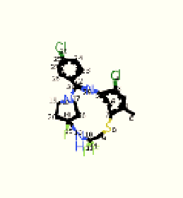 Cc1cc(Cl)c2cc1SCC(F)(F)NC1(F)CCN(CC1)/C(c1ccc(Cl)cc1)=N\2